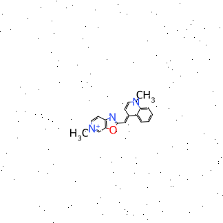 CN1C=C/C(=C\c2nc3cc[n+](C)cc3o2)c2ccccc21